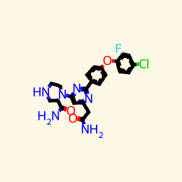 NC(=O)Cc1cc(N2CCNCC2C(N)=O)nc(-c2ccc(Oc3ccc(Cl)cc3F)cc2)n1